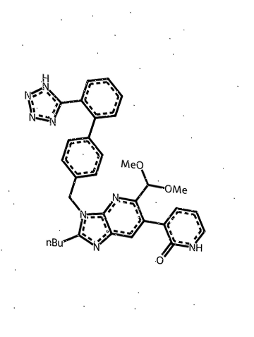 CCCCc1nc2cc(-c3ccc[nH]c3=O)c(C(OC)OC)nc2n1Cc1ccc(-c2ccccc2-c2nnn[nH]2)cc1